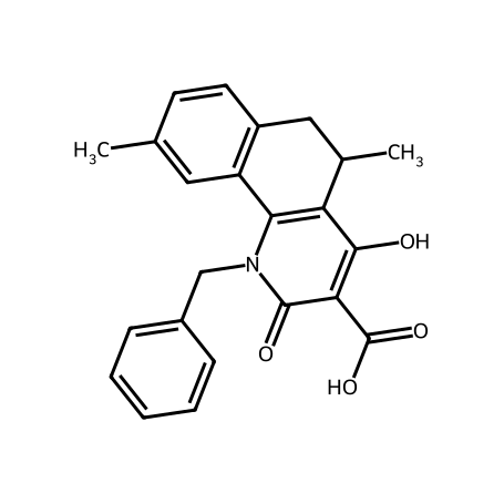 Cc1ccc2c(c1)-c1c(c(O)c(C(=O)O)c(=O)n1Cc1ccccc1)C(C)C2